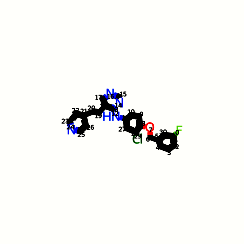 Fc1cccc(COc2ccc(Nc3ncncc3/C=C/c3ccncc3)cc2Cl)c1